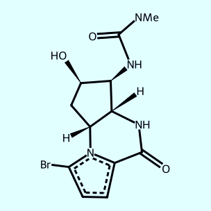 CNC(=O)N[C@H]1[C@@H]2NC(=O)c3ccc(Br)n3[C@@H]2C[C@H]1O